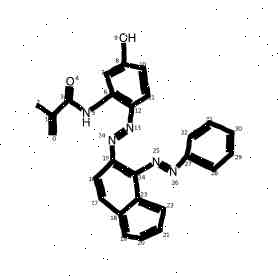 C=C(C)C(=O)Nc1cc(O)ccc1N=Nc1ccc2ccccc2c1N=Nc1ccccc1